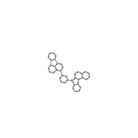 c1cc(-c2ccc3c4c(cccc24)-c2ccccc2-3)cc(-n2c3ccccc3c3c4ccccc4ccc32)c1